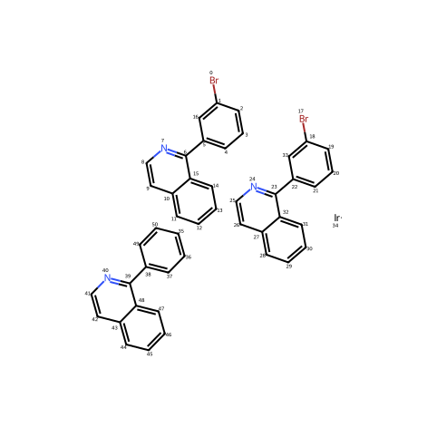 Brc1cccc(-c2nccc3ccccc23)c1.Brc1cccc(-c2nccc3ccccc23)c1.[Ir].c1ccc(-c2nccc3ccccc23)cc1